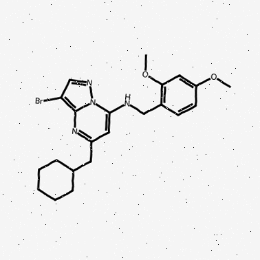 COc1ccc(CNc2cc(CC3CCCCC3)nc3c(Br)cnn23)c(OC)c1